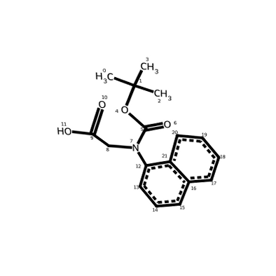 CC(C)(C)OC(=O)N(CC(=O)O)c1cccc2ccccc12